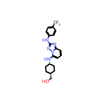 OC[C@H]1CC[C@H](Nc2cccc3nc(Nc4ccc(C(F)(F)F)cc4)nn23)CC1